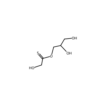 OCC(=S)OCC(O)CO